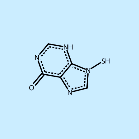 O=c1nc[nH]c2c1ncn2S